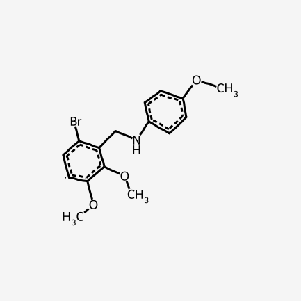 COc1ccc(NCc2c(Br)c[c]c(OC)c2OC)cc1